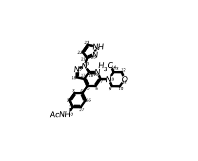 CC(=O)Nc1ccc(-c2cc(N3CCOCC3C)nc3c2cnn3-c2cc[nH]n2)cc1